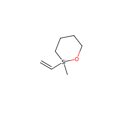 C=C[Si]1(C)CCCCO1